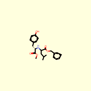 COC(=O)[C@H](Cc1ccc(O)cc1)NC(CC(C)C)C(=O)OCc1ccccc1